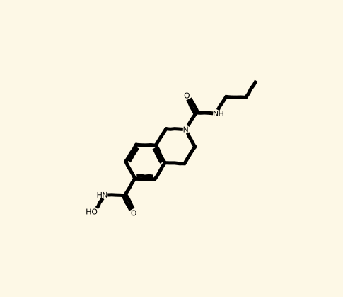 CCCNC(=O)N1CCc2cc(C(=O)NO)ccc2C1